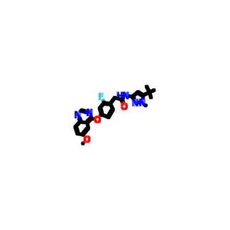 COc1ccc2ncnc(Oc3ccc(CC(=O)Nc4cc(C(C)(C)C)n(C)n4)c(F)c3)c2c1